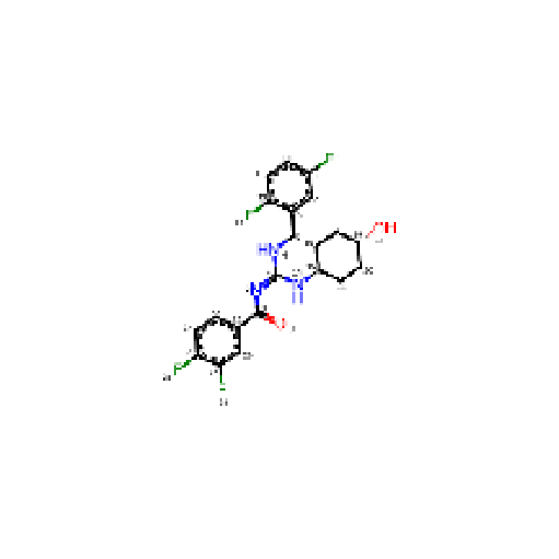 O=C(/N=C(/NCc1cc(F)ccc1F)N[C@H]1CC[C@H](O)CC1)c1ccc(F)c(F)c1